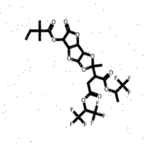 CCC(C)(C)C(=O)OC1C(=O)OC2C3OC(C)(C(CC(=O)OC(C(F)(F)F)C(F)(F)F)C(=O)OC(C)C(F)(F)F)OC3OC12